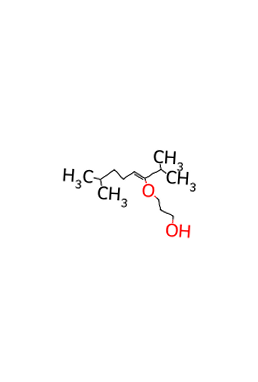 CC(C)CC/C=C(\OCCCO)C(C)C